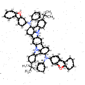 CC(C)(C)c1ccc2c(c1)c1c(N(c3ccccc3)c3ccc4c(c3)oc3ccccc34)ccc3c4cc5c(cc4n2c31)c1ccc(N(c2ccccc2)c2ccc3c(c2)oc2ccccc23)c2c3cc(C(C)(C)C)ccc3n5c12